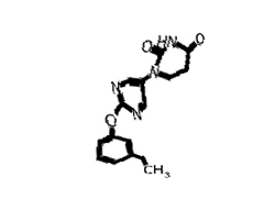 CCc1cccc(Oc2ncc(N3CCC(=O)NC3=O)cn2)c1